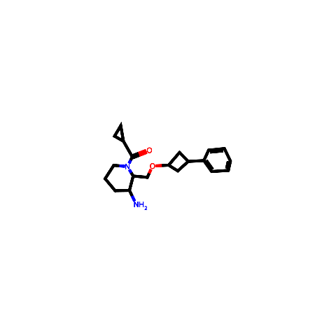 NC1CCCN(C(=O)C2CC2)C1COC1CC(c2ccccc2)C1